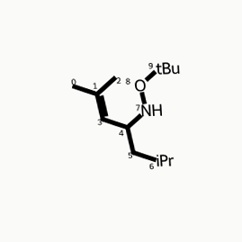 CC(C)=CC(CC(C)C)NOC(C)(C)C